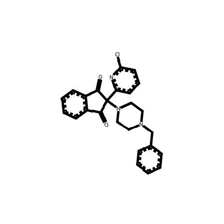 O=C1c2ccccc2C(=O)C1(c1cccc(Cl)n1)N1CCN(Cc2ccccc2)CC1